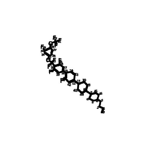 C=CCCC1CCC(C2CCC(c3ccc(-c4cc(F)c(C(F)(F)Oc5ccc(OC(F)(F)F)c(F)c5)c(F)c4)c(F)c3)CC2)CC1